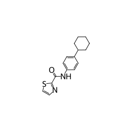 O=C(Nc1ccc(C2CCCCC2)cc1)c1nccs1